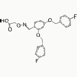 O=C(O)CO/N=C/c1ccc(OCc2ccc(F)cc2)cc1OCc1ccc(F)cc1